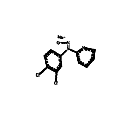 CC(=O)[O-].Clc1ccc(Nc2ccccn2)cc1Cl.[Na+]